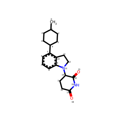 CC1CCC(c2cccc3c2CCN3C2CCC(=O)NC2=O)CC1